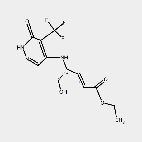 CCOC(=O)/C=C/[C@H](CO)Nc1cn[nH]c(=O)c1C(F)(F)F